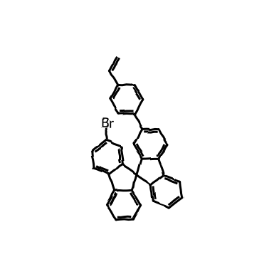 C=Cc1ccc(-c2ccc3c(c2)C2(c4ccccc4-c4ccc(Br)cc42)c2ccccc2-3)cc1